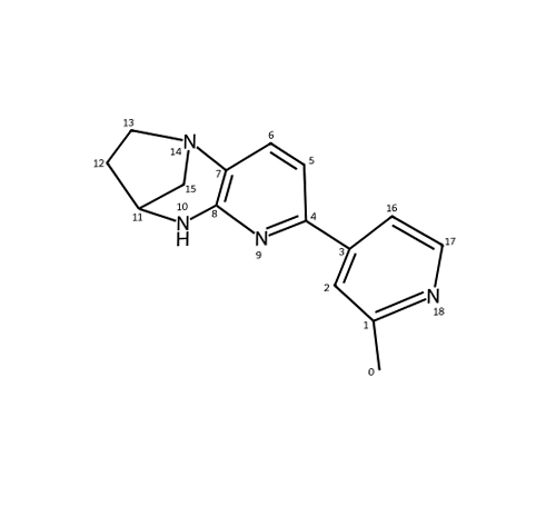 Cc1cc(-c2ccc3c(n2)NC2CCN3C2)ccn1